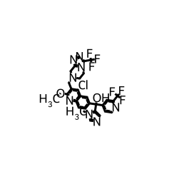 COc1nc2ccc(C(O)(c3ccnc(C(F)(F)F)c3)c3cncn3C)cc2c(Cl)c1CN1CCn2c(nnc2C(F)(F)F)C1